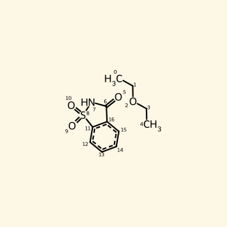 CCOCC.O=C1NS(=O)(=O)c2ccccc21